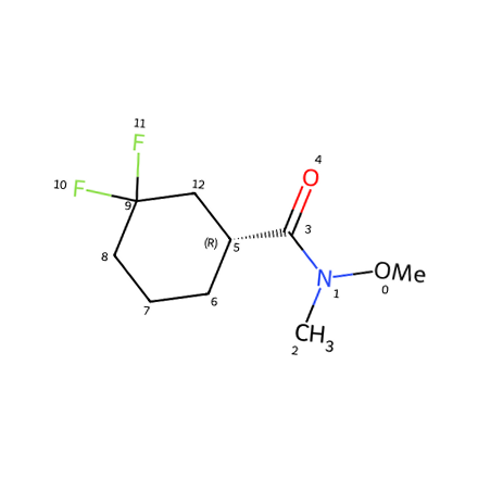 CON(C)C(=O)[C@@H]1CCCC(F)(F)C1